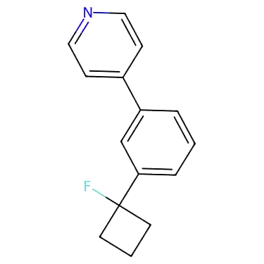 FC1(c2cccc(-c3ccncc3)c2)CCC1